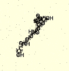 O=C(/C=C/c1ccc(O)cc1)NCCOCCOCCNC(=O)COc1ccc2c(c1)Oc1cc(O)ccc1C21OC(=O)c2ccccc21